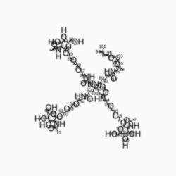 CC(=O)NC1C(OCCOCCOCCNC(=O)CCC(CCC(=O)NCCOCCOCCOC2OC(CO)C(O)C(O)C2NC(C)=O)(CCC(=O)NCCOCCOCCOC2OC(CO)C(O)C(O)C2NC(C)=O)NC(=O)CCCC(=O)NCC(C)(C)CC(C)(C)COC=CC(C)C)OC(CO)C(O)C1O